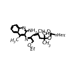 CCCCCCC(=O)OC(C)(C)C/C(C)=C\C(COCC)=N/c1c(N)nc2ccccc2c1C